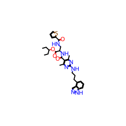 CCC(CC)OC(=O)C(CNC(=O)c1cccs1)NC(=O)c1c(C)nc(NCCCc2cccc3[nH]ncc23)nc1C